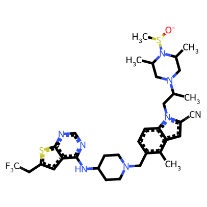 Cc1c(CN2CCC(Nc3ncnc4sc(CC(F)(F)F)cc34)CC2)ccc2c1cc(C#N)n2CC(C)N1CC(C)N([S+](C)[O-])C(C)C1